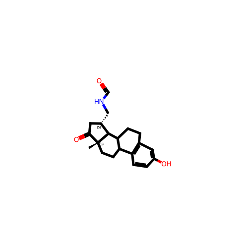 C[C@]12CCC3c4ccc(O)cc4CCC3C1[C@@H](CNC=O)CC2=O